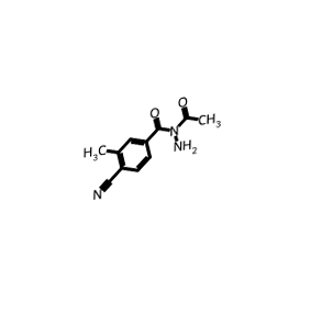 CC(=O)N(N)C(=O)c1ccc(C#N)c(C)c1